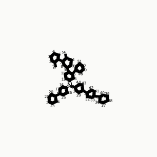 Cc1ccccc1-c1cc(-c2ccc(N(c3ccc(-c4ccccc4)cc3)c3ccc(-c4ccc(-c5ccccc5)cc4)cc3)cc2-c2ccccc2)ccc1C